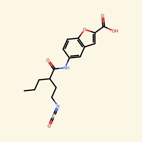 CCCC(CCN=C=O)C(=O)Nc1ccc2oc(C(=O)O)cc2c1